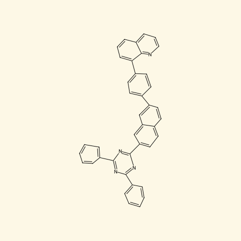 c1ccc(-c2nc(-c3ccccc3)nc(-c3ccc4ccc(-c5ccc(-c6cccc7cccnc67)cc5)cc4c3)n2)cc1